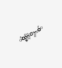 CC(C)(C)n1cc(C(=O)NC2CCN(CC(O)COc3ccc(Cl)c(F)c3)CC2)c(=O)c2cc(F)c(Cl)cc21